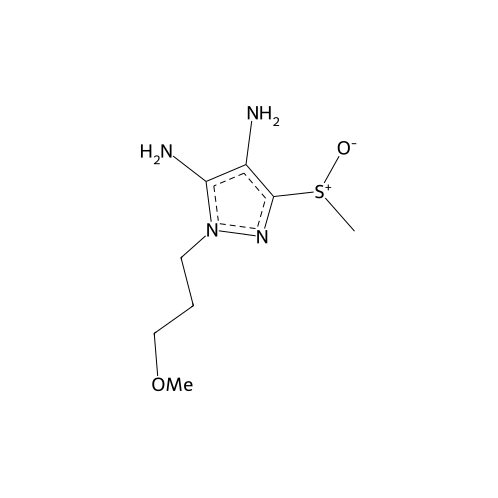 COCCCn1nc([S+](C)[O-])c(N)c1N